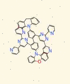 c1ccc(-c2nc(-c3cccnc3)cc(-c3cc(N4c5ccccc5Cc5ccccc54)ccc3-c3ccc(N4c5ccccc5Oc5ccccc54)cc3-c3cc(-c4cccnc4)nc(-c4ccccn4)n3)n2)nc1